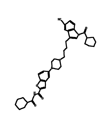 N#Cc1ccc2c(c1)c(CCCCN1CCN(c3ccc4oc(C(=O)NC(=O)C5CCCCC5)cc4c3)CC1)cn2C(=O)C1CCCCC1